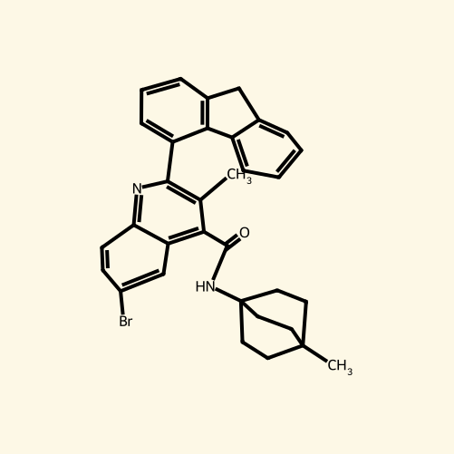 Cc1c(-c2cccc3c2-c2ccccc2C3)nc2ccc(Br)cc2c1C(=O)NC12CCC(C)(CC1)CC2